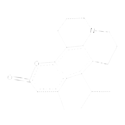 Cc1cc(=O)oc2c3c4c(c(C(C)C)c12)CCCN4CCC3